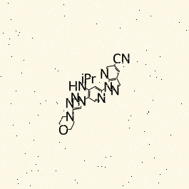 CC(C)Nc1cc(-n2ncc3cc(C#N)cnc32)ncc1-n1cc(N2CCOCC2)nn1